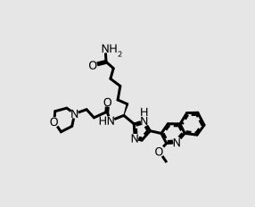 COc1nc2ccccc2cc1-c1cnc([C@H](CCCCCC(N)=O)NC(=O)CCN2CCOCC2)[nH]1